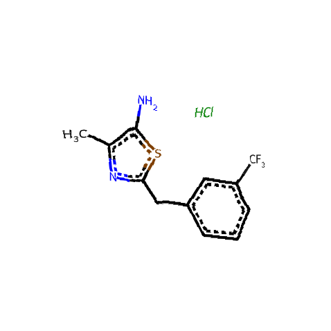 Cc1nc(Cc2cccc(C(F)(F)F)c2)sc1N.Cl